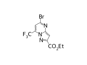 CCOC(=O)c1cc2nc(Br)cc(C(F)(F)F)n2n1